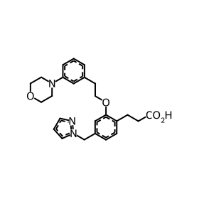 O=C(O)CCc1ccc(Cn2cccn2)cc1OCCc1cccc(N2CCOCC2)c1